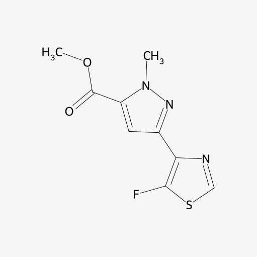 COC(=O)c1cc(-c2ncsc2F)nn1C